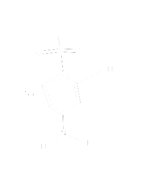 Cc1cc(N(C)C)ccc1S(=O)(=O)[O-].[Na+]